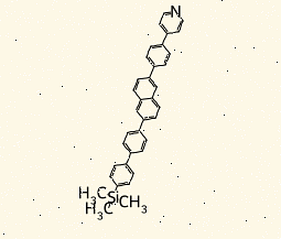 C[Si](C)(C)c1ccc(-c2ccc(-c3ccc4cc(-c5ccc(-c6ccncc6)cc5)ccc4c3)cc2)cc1